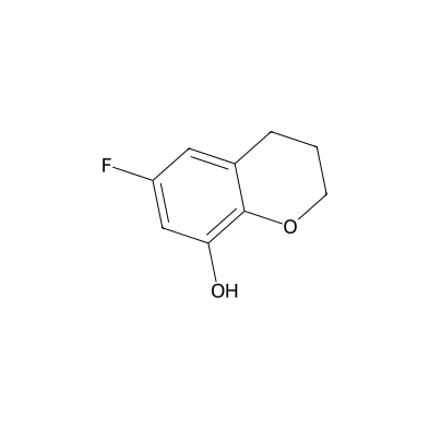 Oc1cc(F)cc2c1OCCC2